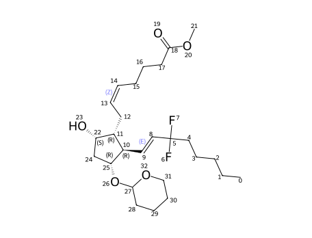 CCCCCC(F)(F)/C=C/[C@@H]1[C@@H](C/C=C\CCCC(=O)OC)[C@@H](O)C[C@H]1OC1CCCCO1